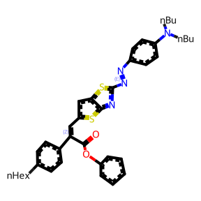 CCCCCCc1ccc(/C(=C/c2cc3sc(/N=N/c4ccc(N(CCCC)CCCC)cc4)nc3s2)C(=O)Oc2ccccc2)cc1